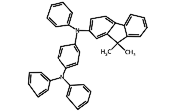 CC1(C)c2ccccc2-c2ccc(N(c3ccccc3)c3ccc(N(c4ccccc4)c4ccccc4)cc3)cc21